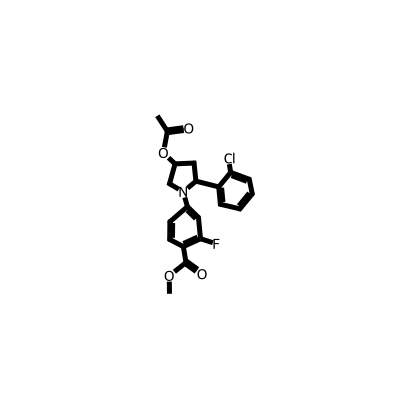 COC(=O)c1ccc(N2CC(OC(C)=O)CC2c2ccccc2Cl)cc1F